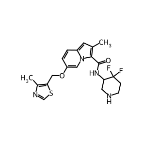 Cc1cc2ccc(OCc3scnc3C)cn2c1C(=O)NC1CNCCC1(F)F